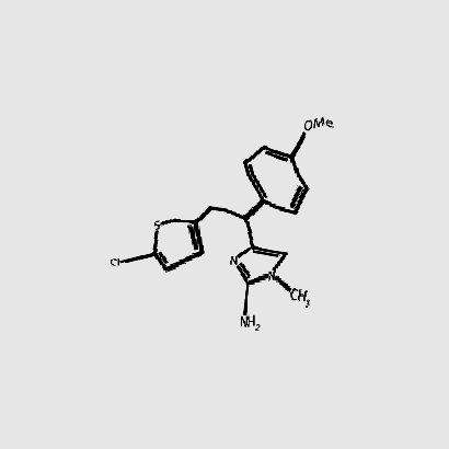 COc1ccc(C(Cc2ccc(Cl)s2)c2cn(C)c(N)n2)cc1